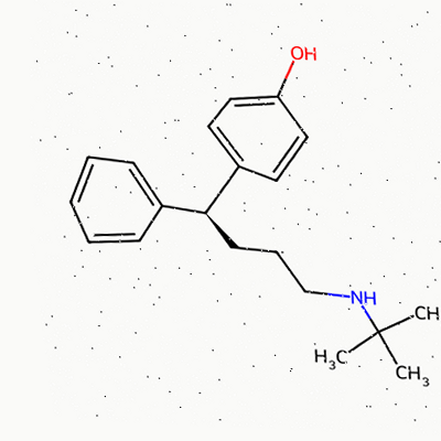 CC(C)(C)NC[CH]C[C@@H](c1ccccc1)c1ccc(O)cc1